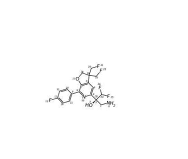 NC[C@](O)(c1cc2c(c(-c3ccc(F)cc3)n1)OCC2(CF)CF)C(F)F